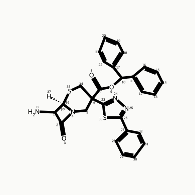 NC1C(=O)N2CC(C(=O)OC(c3ccccc3)c3ccccc3)(c3nnc(-c4ccccc4)s3)CS[C@H]12